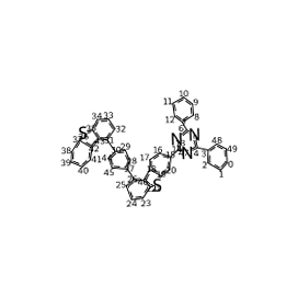 c1ccc(-c2nc(-c3ccccc3)nc(-c3ccc4c(c3)sc3cccc(-c5ccc(-c6cccc7sc8ccccc8c67)cc5)c34)n2)cc1